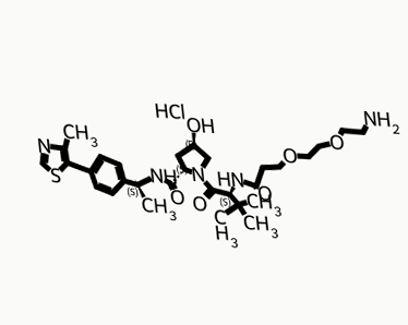 Cc1ncsc1-c1ccc([C@H](C)NC(=O)[C@@H]2C[C@@H](O)CN2C(=O)[C@@H](NC(=O)CCOCCOCCN)C(C)(C)C)cc1.Cl